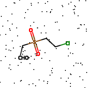 O=[C]CS(=O)(=O)CCCl